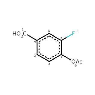 CC(=O)Oc1ccc(C(=O)O)cc1F